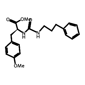 COC(=O)[C@H](Cc1ccc(OC)cc1)NC(=O)NCCCc1ccccc1